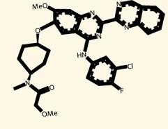 COCC(=O)N(C)[C@H]1CC[C@@H](Oc2cc3c(Nc4ccc(F)c(Cl)c4)nc(-c4ncc5ccccc5n4)nc3cc2OC)CC1